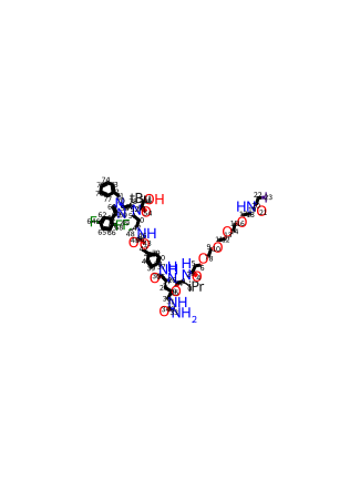 CC(C)[C@H](NC(=O)CCOCCOCCOCCOCCNC(=O)CI)C(=O)N[C@@H](CCCNC(N)=O)C(=O)Nc1ccc(COC(=O)N[C@H](CF)CCN(C(=O)CO)[C@@H](c2nc(-c3cc(F)ccc3F)cn2Cc2ccccc2)C(C)(C)C)cc1